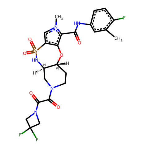 Cc1cc(NC(=O)c2c3c(cn2C)S(=O)(=O)N[C@@H]2CN(C(=O)C(=O)N4CC(F)(F)C4)CC[C@H]2O3)ccc1F